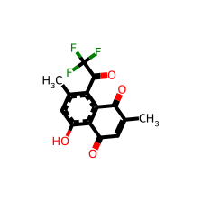 CC1=CC(=O)c2c(O)cc(C)c(C(=O)C(F)(F)F)c2C1=O